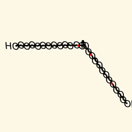 C#CP(OCCOCCOCCOCCOCCOCCOCCOCCOCCOCCOCCOCCO)OCCOCCOCCOCCOCCOCCOCCOCCOCCOCCOCCOCCO